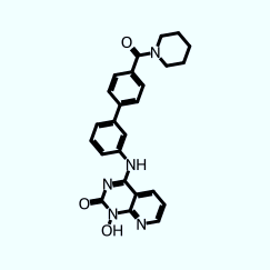 O=C(c1ccc(-c2cccc(Nc3nc(=O)n(O)c4ncccc34)c2)cc1)N1CCCCC1